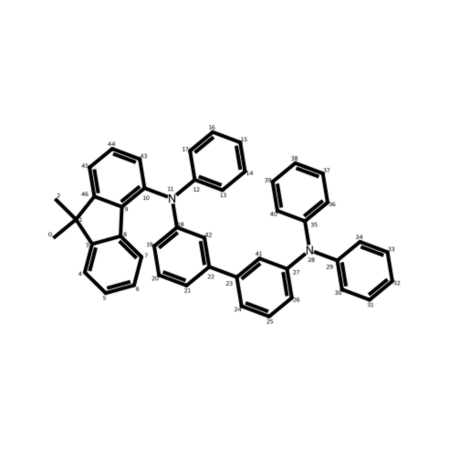 CC1(C)c2ccccc2-c2c(N(c3ccccc3)c3cccc(-c4cccc(N(c5ccccc5)c5ccccc5)c4)c3)cccc21